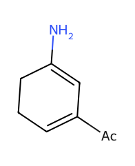 CC(=O)C1=CCCC(N)=C1